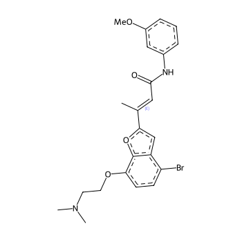 COc1cccc(NC(=O)/C=C(\C)c2cc3c(Br)ccc(OCCN(C)C)c3o2)c1